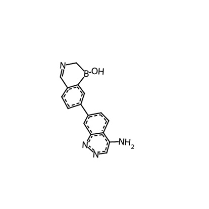 Nc1cnnc2cc(-c3ccc4c(c3)B(O)CN=C4)ccc12